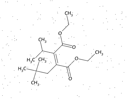 CCOC(=O)C(CC(C)(C)C)=C(C(=O)OCC)C(C)C